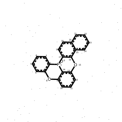 O=P12c3ccccc3Oc3cccc(c31)Oc1c2ccc2ccccc12